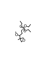 CCO[Si](CCC(OC)C1(C)COC1)(OCC)OCC